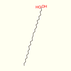 CCCCCCCCCCCCCCCCCCCCCCCCCCCC(O)O